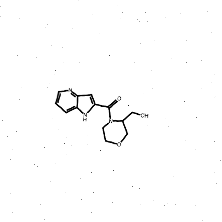 O=C(c1cc2ncccc2[nH]1)N1CCOCC1CO